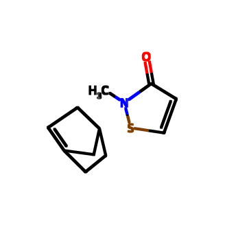 C1=C2CCC(C1)C2.Cn1sccc1=O